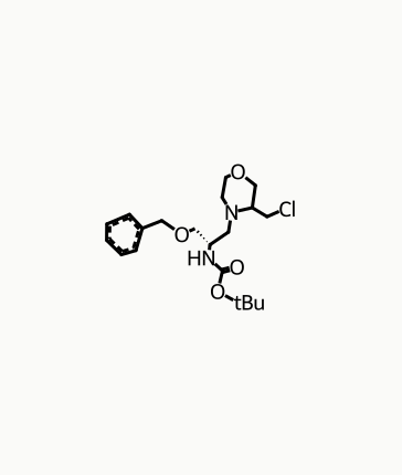 CC(C)(C)OC(=O)N[C@H](COCc1ccccc1)CN1CCOCC1CCl